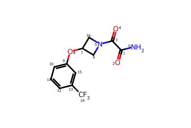 NC(=O)C(=O)N1CC(Oc2cccc(C(F)(F)F)c2)C1